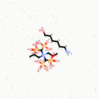 CCC[N+](CCC)(C(P(=O)(O)O)P(=O)(O)O)C(P(=O)(O)O)P(=O)(O)O.NCCCCCCO